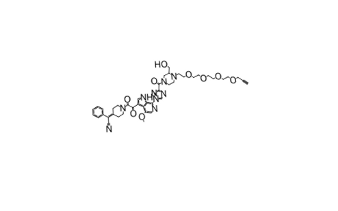 C#CCOCCOCCOCCOCCN1CCN(C(=O)c2ncn(-c3ncc(OC)c4c(C(=O)C(=O)N5CCC(=C(C#N)c6ccccc6)CC5)c[nH]c34)n2)CC1CO